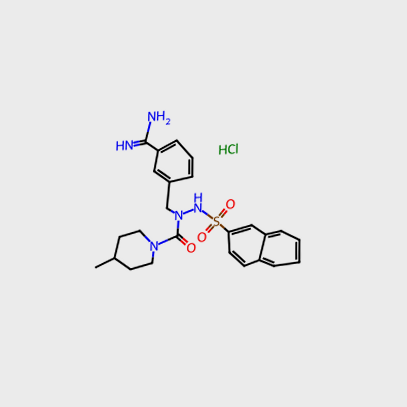 CC1CCN(C(=O)N(Cc2cccc(C(=N)N)c2)NS(=O)(=O)c2ccc3ccccc3c2)CC1.Cl